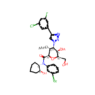 CO[C@@H]1[C@@H](n2cc(-c3cc(F)cc(Cl)c3)nn2)[C@@H](O)[C@@H](CO)O[C@H]1C(=O)N(c1cccc(Br)c1)[C@H]1CCCC[C@@H]1O